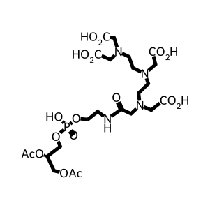 CC(=O)OC[C@H](COP(=O)(O)OCCNC(=O)CN(CCN(CCN(CC(=O)O)CC(=O)O)CC(=O)O)CC(=O)O)OC(C)=O